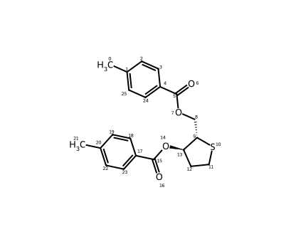 Cc1ccc(C(=O)OC[C@@H]2SCC[C@H]2OC(=O)c2ccc(C)cc2)cc1